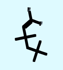 CC(C)(C)CC(C)(C)C=C(F)F